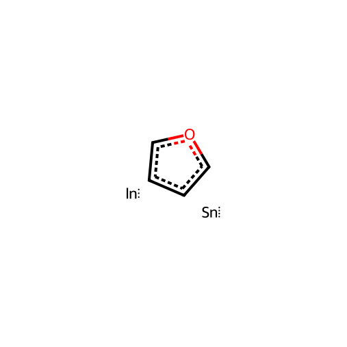 [In].[Sn].c1ccoc1